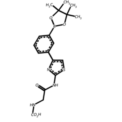 CC1(C)OB(c2cccc(-c3csc(NC(=O)CNC(=O)O)n3)c2)OC1(C)C